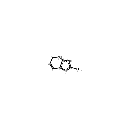 Cc1nc2c([nH]1)NCC=C2